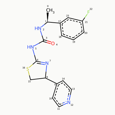 C[C@H](NC(=O)NC1=NC(c2ccncc2)CS1)c1cccc(F)c1